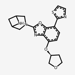 c1csc(-c2ccc(O[C@H]3CCOC3)c3nc(N4CC5CC(C4)N5)oc23)n1